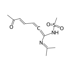 CC(=O)/C=C/C=C=C(N=C(C)C)NS(C)(=O)=O